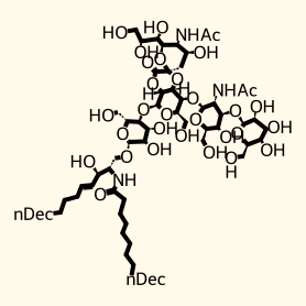 CCCCCCCCCCCCC/C=C/[C@@H](O)[C@H](CO[C@@H]1O[C@H](CO)[C@@H](O[C@@H]2O[C@H](CO)[C@H](O[C@@H]3O[C@H](CO)[C@H](O)[C@H](O[C@@H]4O[C@H](CO)[C@H](O)[C@H](O)[C@H]4O)[C@H]3NC(C)=O)[C@@H]3O[C@@]4(C[C@H](O)[C@@H](NC(C)=O)[C@H]([C@H](O)[C@H](O)CO)O4)C(=O)O[C@@H]23)[C@H](O)[C@H]1O)NC(=O)CCCCCCCCCCCCCCCCC